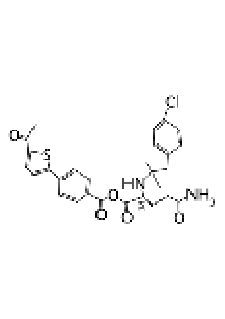 CC(=O)c1ccc(-c2ccc(C(=O)OC(=O)[C@H](CCC(N)=O)NC(C)(C)Cc3ccc(Cl)cc3)cc2)s1